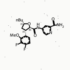 CCCC[C@H]1C[C@@H](c2ccc(F)c(F)c2OC)[C@H](C(=O)Nc2ccnc(C(N)=O)c2)O1